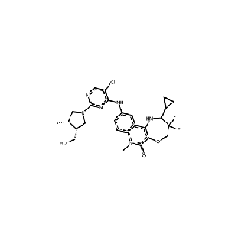 C[C@@H]1CN(c2ncc(Cl)c(Nc3ccc4c(c3)c3c(c(=O)n4C)OCC(F)(F)C(C4CC4)N3)n2)C[C@@H]1CO